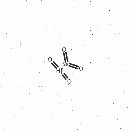 O=[Se]=O.[O]=[Hf]=[O]